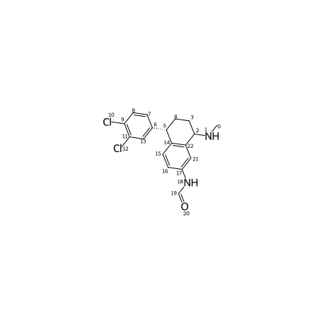 CNC1CC[C@@H](c2ccc(Cl)c(Cl)c2)c2ccc(NC=O)cc21